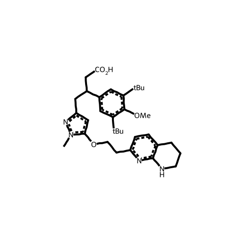 COc1c(C(C)(C)C)cc(C(CC(=O)O)Cc2cc(OCCc3ccc4c(n3)NCCC4)n(C)n2)cc1C(C)(C)C